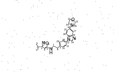 CC(C)c1cc(NCCc2ccc(-n3cnc4cc(N5CCOCC5)ccc43)cc2)on1